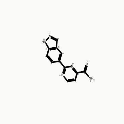 NC(=O)c1ccnc(-c2ccc3[nH]ncc3c2)n1